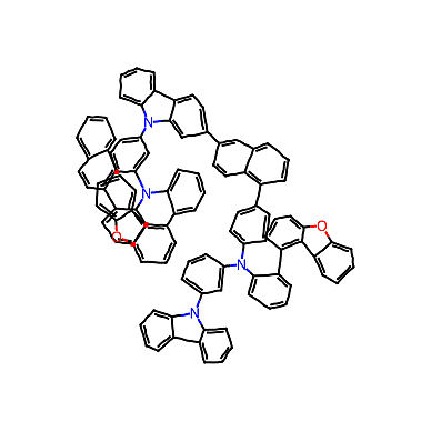 c1cc(N(c2ccc(-c3cccc4cc(-c5ccc6c7ccccc7n(-c7cccc(N(c8ccccc8-c8ccc9ccccc9c8)c8ccccc8-c8cccc9oc%10ccccc%10c89)c7)c6c5)ccc34)cc2)c2ccccc2-c2cccc3oc4ccccc4c23)cc(-n2c3ccccc3c3ccccc32)c1